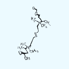 CC(COC=O)[N+](C)(C)CCSSCC[N+](C)(C)C(C)CC(=O)O